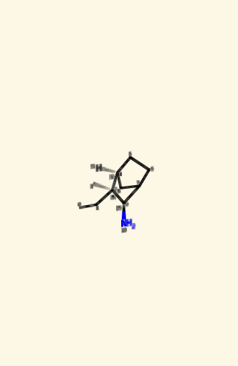 CC[C@@]1(C)[C@H]2CCC(C2)[C@H]1N